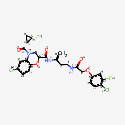 C=C(CCNC(=O)COc1ccc(Cl)c(F)c1)NC(=O)C1CN(C(=O)[C@@H]2C[C@@H]2F)c2cc(Cl)ccc2O1